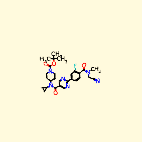 CN(CC#N)C(=O)c1ccc(-c2ncc(C(=O)N(C3CC3)C3CCN(C(=O)OC(C)(C)C)CC3)cn2)cc1F